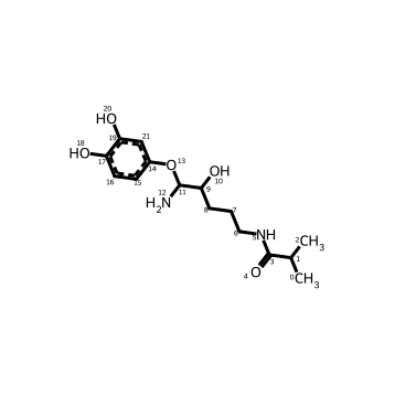 CC(C)C(=O)NCCCC(O)C(N)Oc1ccc(O)c(O)c1